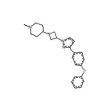 CN1CCC(N2CC(n3ccc(-c4ccc(Oc5ccccc5)cc4)n3)C2)CC1